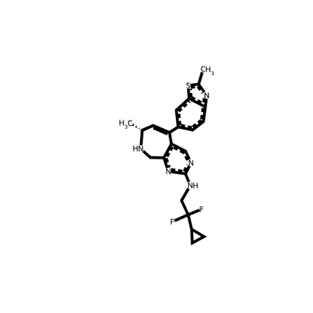 Cc1nc2ccc(C3=C[C@@H](C)NCc4nc(NCC(F)(F)C5CC5)ncc43)cc2s1